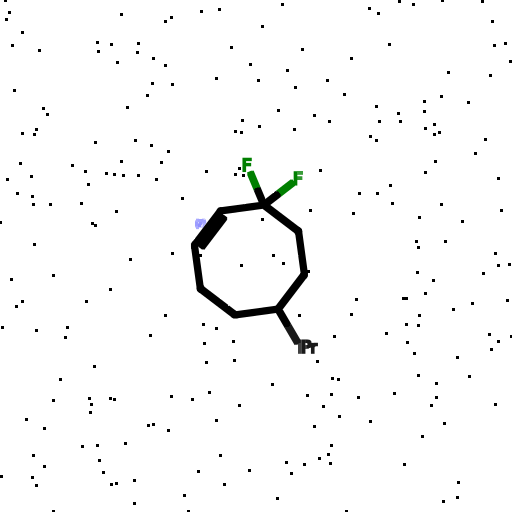 CC(C)C1CC/C=C\C(F)(F)CC1